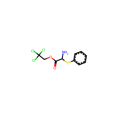 NC(Sc1ccccc1)C(=O)OCC(Cl)(Cl)Cl